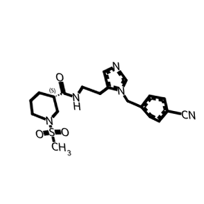 CS(=O)(=O)N1CCC[C@H](C(=O)NCCc2cncn2Cc2ccc(C#N)cc2)C1